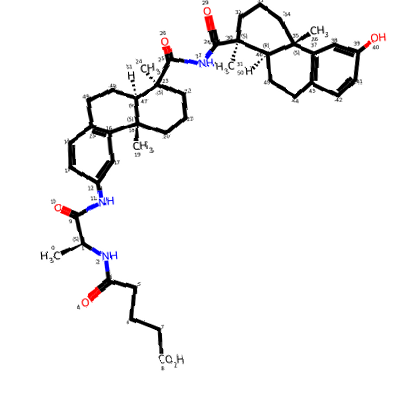 C[C@H](NC(=O)CCCC(=O)O)C(=O)Nc1ccc2c(c1)[C@@]1(C)CCC[C@](C)(C(=O)NC(=O)[C@@]3(C)CCC[C@]4(C)c5cc(O)ccc5CC[C@@H]34)[C@@H]1CC2